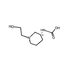 O=C(O)N[C@@H]1CCCN(CCO)C1